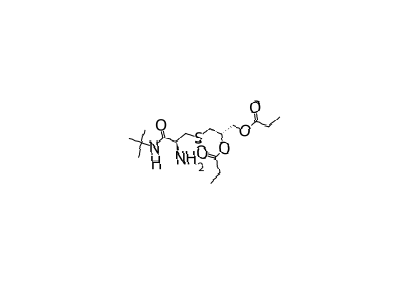 CCC(=O)OC[C@@H](CSC[C@@H](N)C(=O)NC(C)(C)C)OC(=O)CC